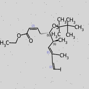 CCOC(=O)/C=C\C[C@H](O[Si](C)(C)C(C)(C)C)[C@@H](C)/C=C(C)/C=C\I